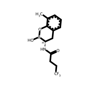 Cc1cccc2c1OB(O)[C@@H](NC(=O)CCC(F)(F)F)C2